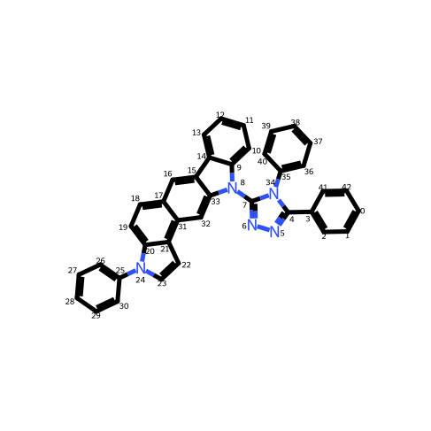 c1ccc(-c2nnc(-n3c4ccccc4c4cc5ccc6c(ccn6-c6ccccc6)c5cc43)n2-c2ccccc2)cc1